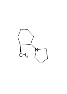 C[C@H]1CCCCC1N1CCCC1